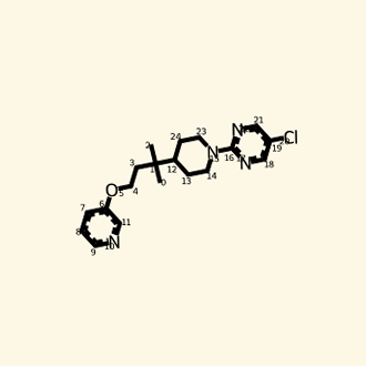 CC(C)(CCOc1cccnc1)C1CCN(c2ncc(Cl)cn2)CC1